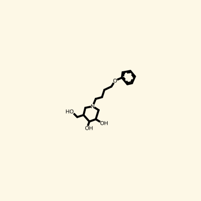 OCC1CN(CCCCOc2ccccc2)CC(O)C1O